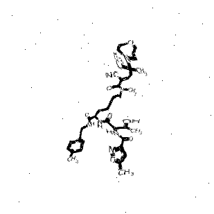 Cc1ccc(CNC(=O)C(CCCCN(C)C(=O)C(C#N)=CC(C)(C)N2CCOCC2)NC(=O)C(NC(=O)c2cc(C)on2)C(C)O)cc1